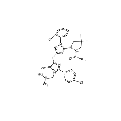 NC(=O)[C@H]1CC(F)(F)CN1c1nc(Cn2nc(-c3ccc(Cl)cc3)n(C[C@H](O)C(F)(F)F)c2=O)nn1-c1ccccc1Cl